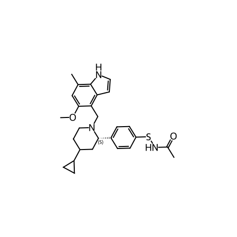 COc1cc(C)c2[nH]ccc2c1CN1CCC(C2CC2)C[C@H]1c1ccc(SNC(C)=O)cc1